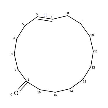 O=C1CCCC/C=C/CCCCCCCCC1